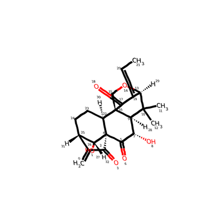 C=C1C(=O)[C@@]23C(=O)[C@@H](O)[C@@H]4C(C)(C)[C@@H]5OC[C@]4(C(=O)/C5=C/C)[C@@H]2CC[C@@H]1[C@H]3O